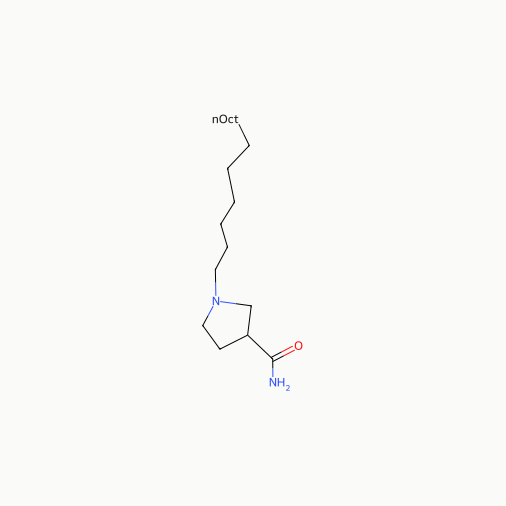 CCCCCCCCCCCCCCN1CCC(C(N)=O)C1